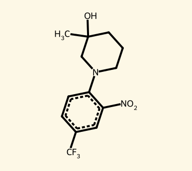 CC1(O)CCCN(c2ccc(C(F)(F)F)cc2[N+](=O)[O-])C1